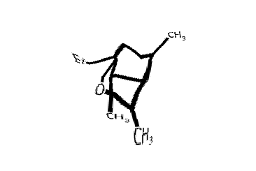 CCC12CC(C)C(C(C)O1)C2C